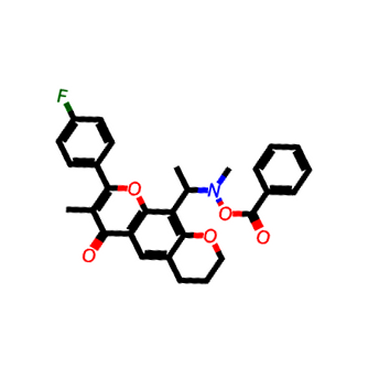 Cc1c(-c2ccc(F)cc2)oc2c(C(C)N(C)OC(=O)c3ccccc3)c3c(cc2c1=O)CCCO3